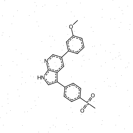 COc1cccc(-c2cnc3[nH]cc(-c4ccc(S(C)(=O)=O)cc4)c3c2)c1